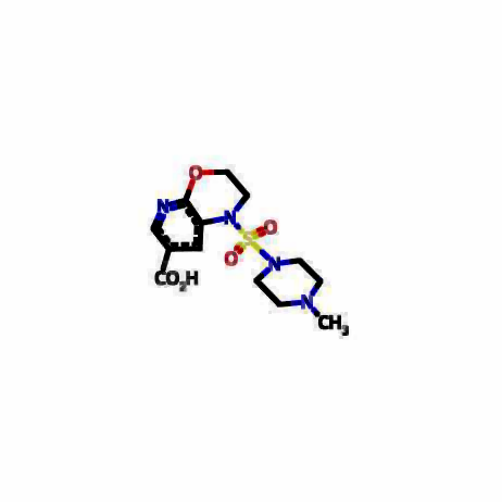 CN1CCN(S(=O)(=O)N2CCOc3ncc(C(=O)O)cc32)CC1